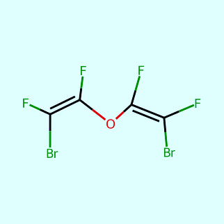 FC(Br)=C(F)OC(F)=C(F)Br